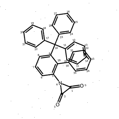 O=c1c(=O)n1-c1cccc(C(c2ccccc2)(c2ccccc2)c2ccccc2)c1-c1ccccc1